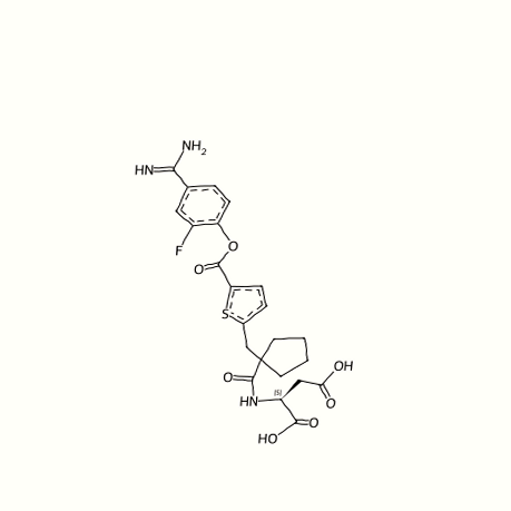 N=C(N)c1ccc(OC(=O)c2ccc(CC3(C(=O)N[C@@H](CC(=O)O)C(=O)O)CCCC3)s2)c(F)c1